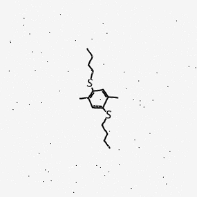 CCCCSc1cc(C)c(SCCCC)cc1C